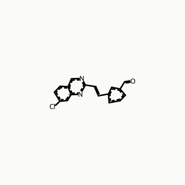 O=Cc1cccc(C=Cc2ncc3ccc(Cl)cc3n2)c1